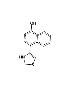 Oc1ccc(C2=CSCN2)c2ccccc12